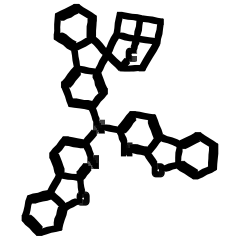 c1ccc2c(c1)-c1ccc(N(c3ccc4c(n3)oc3ccccc34)c3ccc4c(n3)oc3ccccc34)cc1C21C2CC3CC4CC1C34C2